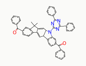 CC1(C)C2=CC3C(C=C2c2ccc(C(=O)c4ccccc4)cc21)c1ccc(C(=O)c2ccccc2)cc1N3c1nc(-c2ccccc2)nc(-c2ccccc2)n1